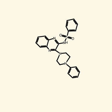 O=S(=O)(Nc1nc2ccccc2nc1N1CCN(c2ccccc2)CC1)c1ccccc1